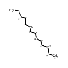 CSOCCOCCOCCOSC